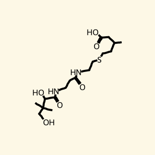 CC(CCSCCNC(=O)CCNC(=O)C(O)C(C)(C)CO)CC(=O)O